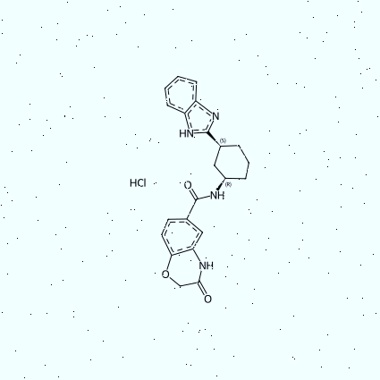 Cl.O=C1COc2ccc(C(=O)N[C@@H]3CCC[C@H](c4nc5ccccc5[nH]4)C3)cc2N1